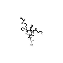 C=CCOC(=O)C(CC(=O)OCC)C(=O)OCC=C